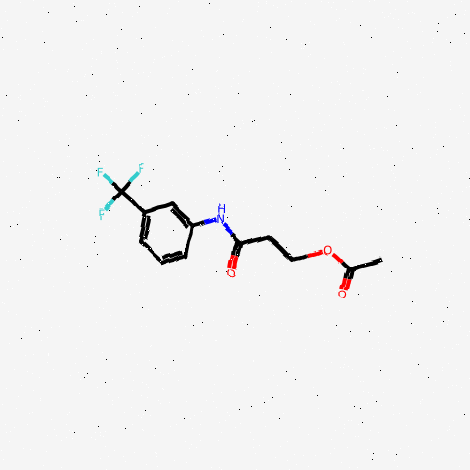 CC(=O)OCCC(=O)Nc1cccc(C(F)(F)F)c1